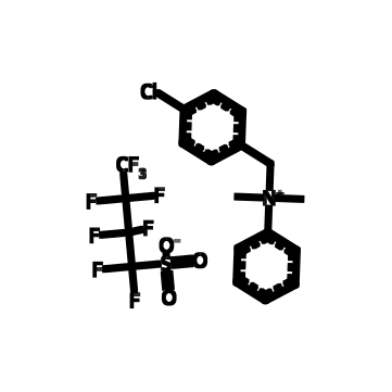 C[N+](C)(Cc1ccc(Cl)cc1)c1ccccc1.O=S(=O)([O-])C(F)(F)C(F)(F)C(F)(F)C(F)(F)F